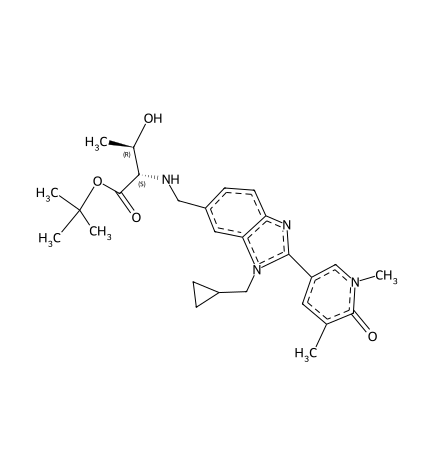 Cc1cc(-c2nc3ccc(CN[C@H](C(=O)OC(C)(C)C)[C@@H](C)O)cc3n2CC2CC2)cn(C)c1=O